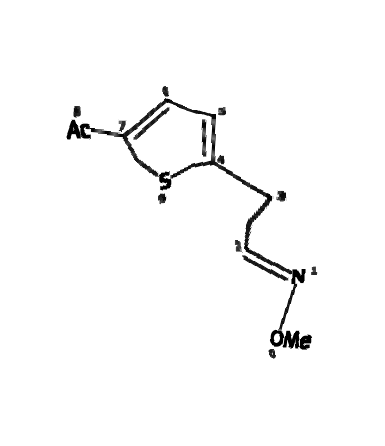 CON=CCc1ccc(C(C)=O)s1